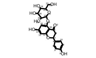 O=C1CC(c2ccc(O)cc2)Oc2cc(O)cc(OC3OC(CO)C(O)C(O)C3O)c21